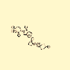 COC1CCC(CN[C@@H]2CCC[C@@H]2Oc2ccc3c(c2)CN(C2CCC(=O)NC2=O)C3=O)CC1